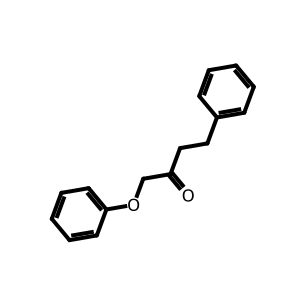 O=C(CCc1ccccc1)COc1ccccc1